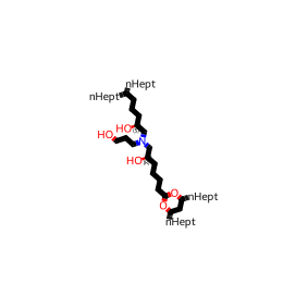 CCCCCCCC(CCCCCCC)CCC[C@H](O)CN(CCCO)C[C@H](O)CCCCC1OC(CCCCCCC)CC(CCCCCCC)O1